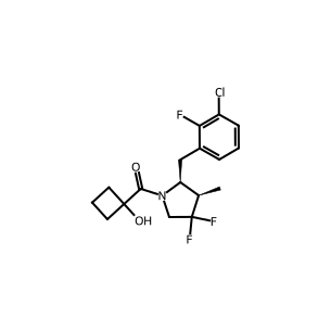 C[C@@H]1[C@H](Cc2cccc(Cl)c2F)N(C(=O)C2(O)CCC2)CC1(F)F